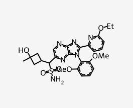 CCOc1cccc(-c2nc3ncc(C(C4CC(C)(O)C4)S(N)(=O)=O)nc3n2-c2c(OC)cccc2OC)n1